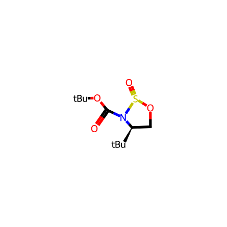 CC(C)(C)OC(=O)N1[C@H](C(C)(C)C)COS1=O